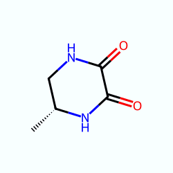 C[C@@H]1CNC(=O)C(=O)N1